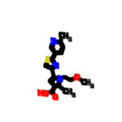 COCCn1c(-c2csc(-c3ccc(C)nc3)n2)cc(C(=O)O)c1C